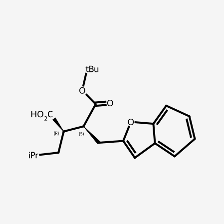 CC(C)C[C@@H](C(=O)O)[C@H](Cc1cc2ccccc2o1)C(=O)OC(C)(C)C